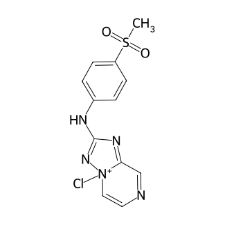 CS(=O)(=O)c1ccc(NC2=N[N+]3(Cl)C=CN=CC3=N2)cc1